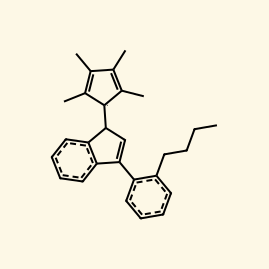 CCCCc1ccccc1C1=CC([C]2C(C)=C(C)C(C)=C2C)c2ccccc21